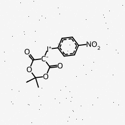 CC1(C)OC(=O)[C-]([I+]c2ccc([N+](=O)[O-])cc2)C(=O)O1